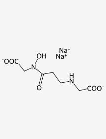 O=C([O-])CNCCC(=O)N(O)CC(=O)[O-].[Na+].[Na+]